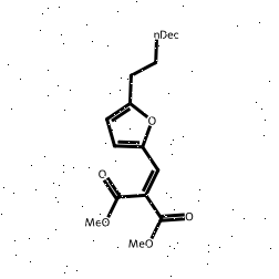 CCCCCCCCCCCCc1ccc(C=C(C(=O)OC)C(=O)OC)o1